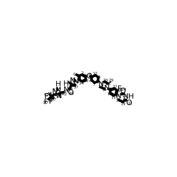 Cc1cc(OC2CCC(N3CCN(c4ccc(N5CCC(=O)NC5=O)c(F)c4)[C@H](C)C3)CC2)ccc1-n1cc(C(=O)NCc2nc(C(C)(C)C(F)(F)F)n[nH]2)cn1